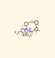 CCOC(=O)C[C@@H]1NC(=O)[C@@H](n2ccc(C(F)(F)F)c(Cl)c2=O)c2cc(ccc2F)COc2cccc(C)c2-c2cc(C)c(F)c1c2